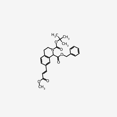 COC(=O)C=Cc1ccc2c(c1)C(C(=O)OCc1ccccc1)N(C(=O)OC(C)(C)C)CC2